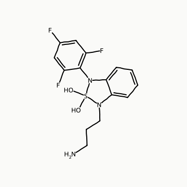 NCCCN1c2ccccc2N(c2c(F)cc(F)cc2F)S1(O)O